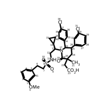 COc1cccc(CCS(=O)(=O)NCC(C2CC2)N2C(=O)C(C)(CC(=O)O)CC(c3cccc(Cl)c3)C2c2ccc(Cl)cc2)c1